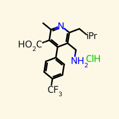 Cc1nc(CC(C)C)c(CN)c(-c2ccc(C(F)(F)F)cc2)c1C(=O)O.Cl